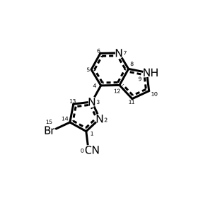 N#Cc1nn(-c2ccnc3[nH]ccc23)cc1Br